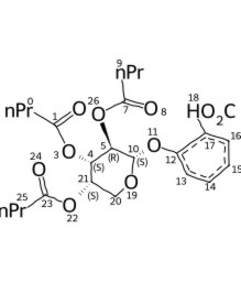 CCCC(=O)O[C@@H]1[C@@H](OC(=O)CCC)[C@H](Oc2ccccc2C(=O)O)OC[C@@H]1OC(=O)CCC